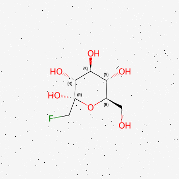 OC[C@H]1O[C@@](O)(CF)[C@H](O)[C@@H](O)[C@@H]1O